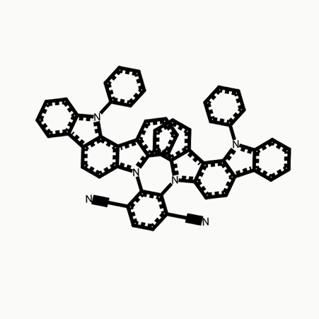 N#Cc1ccc(C#N)c(-n2c3ccccc3c3c2ccc2c4ccccc4n(-c4ccccc4)c23)c1-n1c2ccccc2c2c1ccc1c3ccccc3n(-c3ccccc3)c12